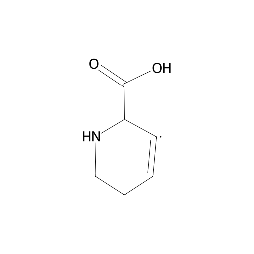 O=C(O)C1[C]=CCCN1